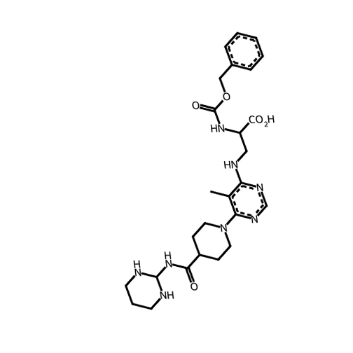 Cc1c(NCC(NC(=O)OCc2ccccc2)C(=O)O)ncnc1N1CCC(C(=O)NC2NCCCN2)CC1